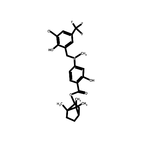 CN(Cc1cc(C(F)(F)F)cc(Cl)c1O)c1ccc(C(=O)OC2CC3CCC2(C)C3(C)C)c(O)c1